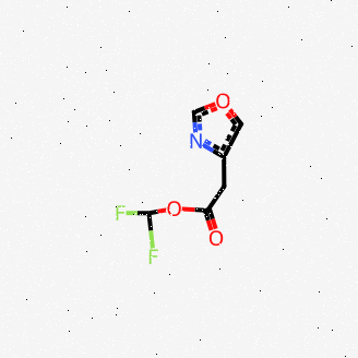 O=C(Cc1cocn1)OC(F)F